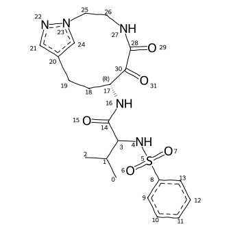 CC(C)C(NS(=O)(=O)c1ccccc1)C(=O)N[C@@H]1CCc2cnn(c2)CCNC(=O)C1=O